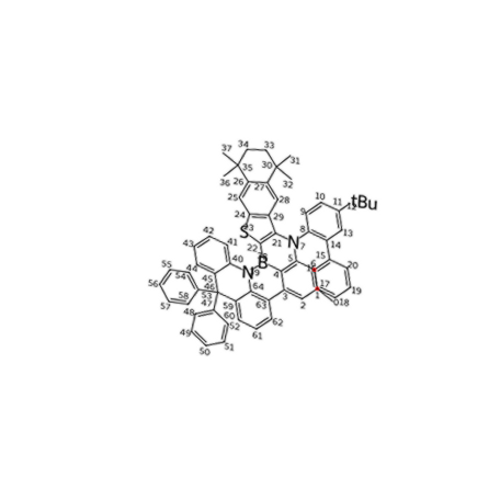 Cc1cc2c3c(c1)N(c1ccc(C(C)(C)C)cc1-c1ccccc1)c1c(sc4cc5c(cc14)C(C)(C)CCC5(C)C)B3N1c3ccccc3C(c3ccccc3)(c3ccccc3)c3cccc-2c31